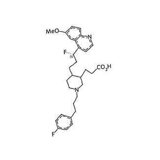 COc1ccc2nccc([C@@H](F)CCC3CCN(CCCc4ccc(F)cc4)CC3CCC(=O)O)c2c1